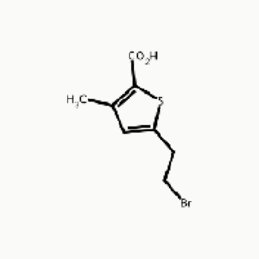 Cc1cc(CCBr)sc1C(=O)O